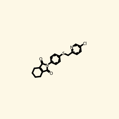 O=C1C2=C(CCCC2)C(=O)N1c1ccc(SCc2ccc(Cl)cn2)cc1